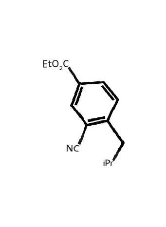 CCOC(=O)c1ccc(CC(C)C)c(C#N)c1